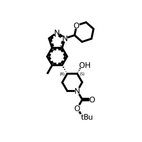 Cc1cc2cnn(C3CCCCO3)c2cc1[C@H]1CCN(C(=O)OC(C)(C)C)C[C@H]1O